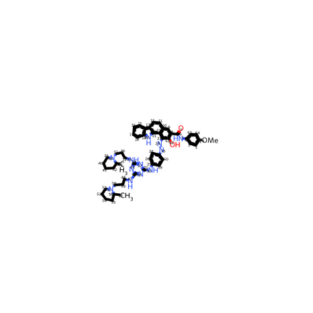 COc1ccc(NC(=O)c2cc3ccc4c5ccccc5[nH]c4c3c(N=Nc3ccc(Nc4nc(NCCCN5CCCCC5C)nc(NCCCN5CCCCC5C)n4)cc3)c2O)cc1